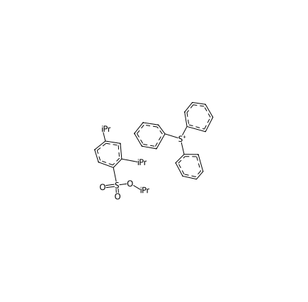 CC(C)OS(=O)(=O)c1ccc(C(C)C)cc1C(C)C.c1ccc([S+](c2ccccc2)c2ccccc2)cc1